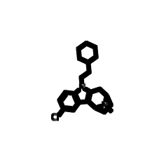 CN1C2CCC1c1c(n(CCC3CCCCC3)c3ccc(Cl)cc13)C2